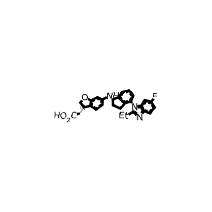 CCc1nc2ccc(F)cc2n1-c1cccc2c1CCC2Nc1ccc2c(c1)OC[C@H]2CC(=O)O